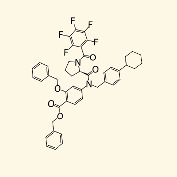 O=C(OCc1ccccc1)c1ccc(N(Cc2ccc(C3CCCCC3)cc2)C(=O)[C@H]2CCCN2C(=O)c2c(F)c(F)c(F)c(F)c2F)cc1OCc1ccccc1